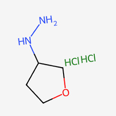 Cl.Cl.NNC1CCOC1